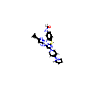 CCC(=O)Nc1ccc(Sc2nc(Nc3cc(C4CC4)n[nH]3)cc(N3CCC(N4CCCC4)CC3)n2)cc1